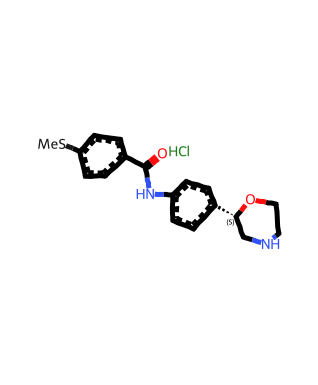 CSc1ccc(C(=O)Nc2ccc([C@H]3CNCCO3)cc2)cc1.Cl